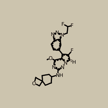 [2H]c1c(F)c(-c2ccc3nnn(CC(F)F)c3c2)c2c(OC)nc(NC3CCC4(CC3)COC4)nn12